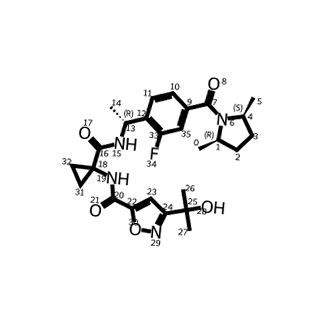 C[C@@H]1CC[C@H](C)N1C(=O)c1ccc([C@@H](C)NC(=O)C2(NC(=O)c3cc(C(C)(C)O)no3)CC2)c(F)c1